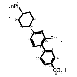 CCC[C@H]1CC[C@H](c2ccc(-c3ccc(C(=O)O)cc3)c(F)c2)CC1